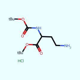 CC(C)(C)OC(=O)NC(CCN)C(=O)OC(C)(C)C.Cl